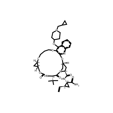 C=C[C@@H]1C[C@]1(NC(=O)[C@@H]1C[C@@H]2CN1C(=O)[C@H](C(C)(C)C)NC(=O)O[C@@H]1C[C@H]1CCCCCc1c(nc3ccccc3c1OC1CCN(CC3CC3)CC1)O2)C(N)=O